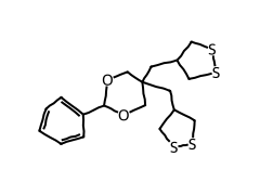 c1ccc(C2OCC(CC3CSSC3)(CC3CSSC3)CO2)cc1